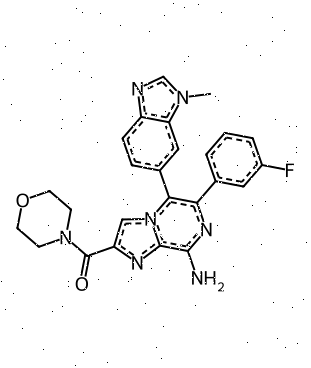 Cn1cnc2ccc(-c3c(-c4cccc(F)c4)nc(N)c4nc(C(=O)N5CCOCC5)cn34)cc21